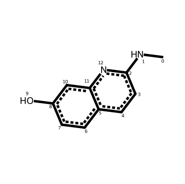 CNc1ccc2ccc(O)cc2n1